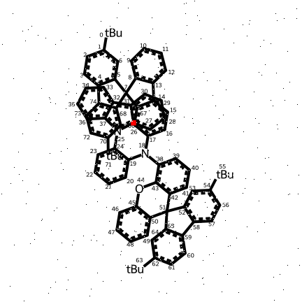 CC(C)(C)c1ccc2c(c1)C1(c3ccccc3-c3ccc(N(c4ccccc4-n4c5ccccc5c5ccccc54)c4cccc5c4Oc4ccccc4C54c5cc(C(C)(C)C)ccc5-c5ccc(C(C)(C)C)cc54)cc31)c1cc(C(C)(C)C)ccc1-2